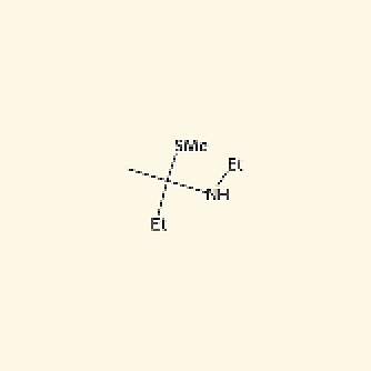 CCNC(C)(CC)SC